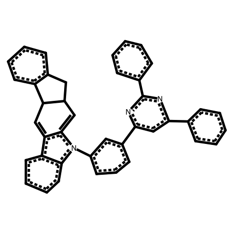 C1=c2c(n(-c3cccc(-c4cc(-c5ccccc5)nc(-c5ccccc5)n4)c3)c3ccccc23)=CC2Cc3ccccc3C12